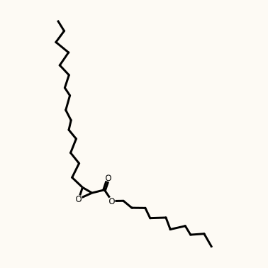 CCCCCCCCCCCCCCCC1OC1C(=O)OCCCCCCCCCC